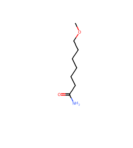 COCCCCCCC(N)=O